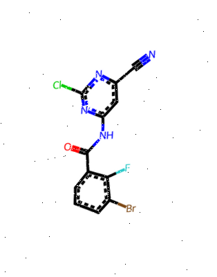 N#Cc1cc(NC(=O)c2cccc(Br)c2F)nc(Cl)n1